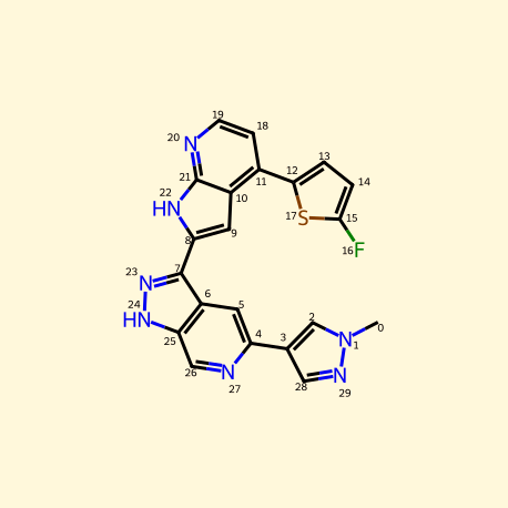 Cn1cc(-c2cc3c(-c4cc5c(-c6ccc(F)s6)ccnc5[nH]4)n[nH]c3cn2)cn1